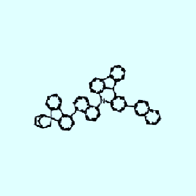 CC12c3ccccc3-c3cccc(c31)N(c1cccc3c(-c4cccc5c4-c4ccccc4[C@]54CC5CCC4C5)cccc13)c1ccc(-c3ccc4ccccc4c3)cc12